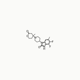 Cc1cc2c([nH]c(=O)n2C2CCN(C3(C)CCOC(=O)C3)CC2)c(F)c1F